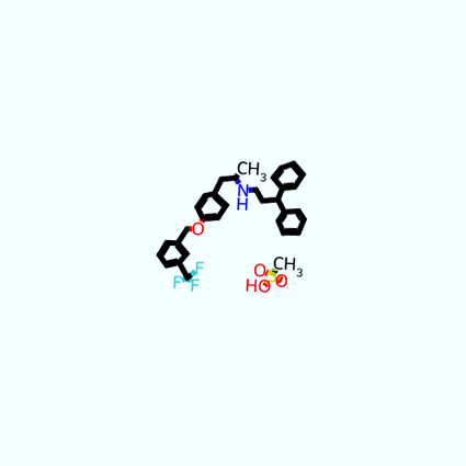 CC(Cc1ccc(OCc2cccc(C(F)(F)F)c2)cc1)NCCC(c1ccccc1)c1ccccc1.CS(=O)(=O)O